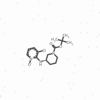 CC(C)(C)OC(=O)N1CCC[C@@H](Nc2c(Cl)ccc[n+]2[O-])C1